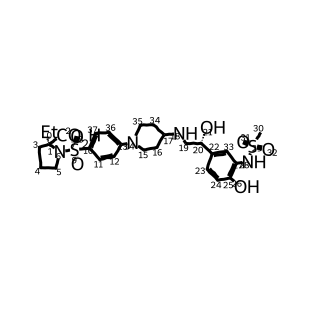 CC[C@@]1(C(=O)O)CCCN1S(=O)(=O)c1ccc(N2CCC(NC[C@H](O)c3ccc(O)c(NS(C)(=O)=O)c3)CC2)cc1